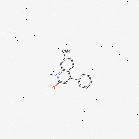 COc1ccc2c(-c3ccccc3)cc(=O)n(C)c2c1